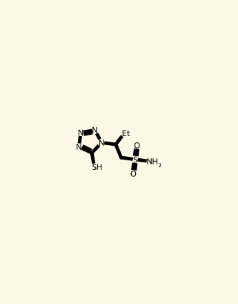 CCC(CS(N)(=O)=O)n1nnnc1S